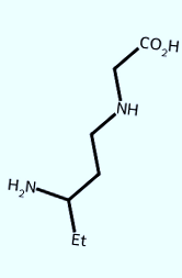 CCC(N)CCNCC(=O)O